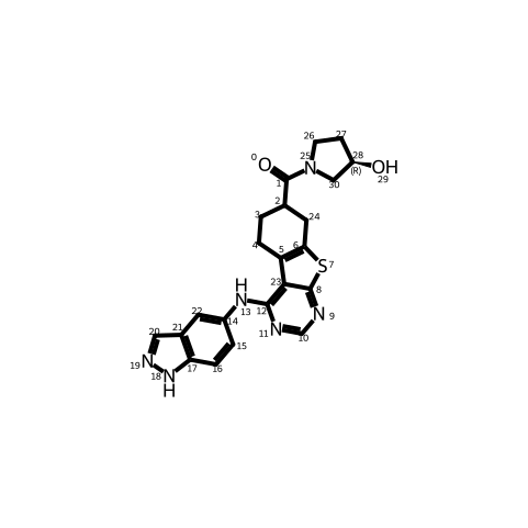 O=C(C1CCc2c(sc3ncnc(Nc4ccc5[nH]ncc5c4)c23)C1)N1CC[C@@H](O)C1